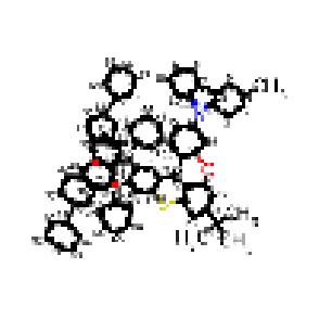 Cc1ccc2c(c1)c1ccccc1n2-c1ccc2c(c1)Oc1cc(C(C)(C)C)cc3c1B2c1cc([Si](c2ccccc2)(c2ccccc2)c2cccc(-c4ccccc4)c2)c([Si](c2ccccc2)(c2ccccc2)c2cccc(-c4ccccc4)c2)cc1S3